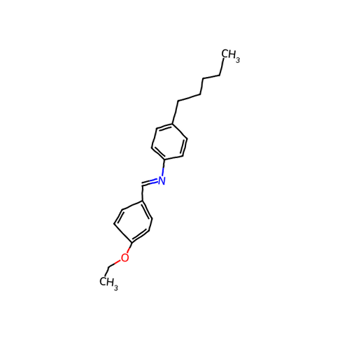 CCCCCc1ccc(N=Cc2ccc(OCC)cc2)cc1